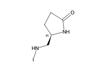 O=C1CC[C@H](CNI)N1